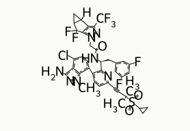 Cn1nc(N)c2c(Cl)ccc(-c3ccc(C#CC(C)(C)S(=O)(=O)C4CC4)nc3[C@H](Cc3cc(F)cc(F)c3)NC(=O)Cn3nc(C(F)(F)F)c4c3C(F)(F)C3C[C@H]43)c21